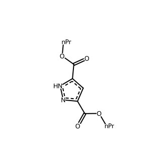 CCCOC(=O)c1cc(C(=O)OCCC)[nH]n1